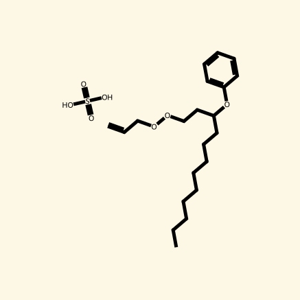 C=CCOOCCC(CCCCCCCCC)Oc1ccccc1.O=S(=O)(O)O